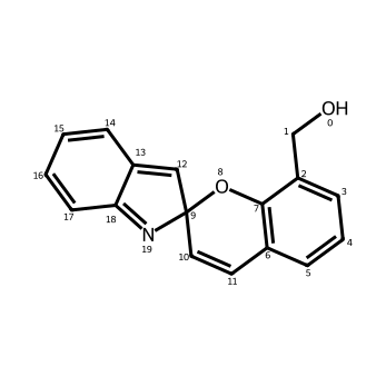 OCc1cccc2c1OC1(C=C2)C=c2ccccc2=N1